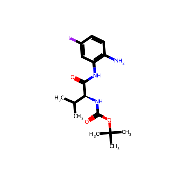 CC(C)[C@H](NC(=O)OC(C)(C)C)C(=O)Nc1cc(I)ccc1N